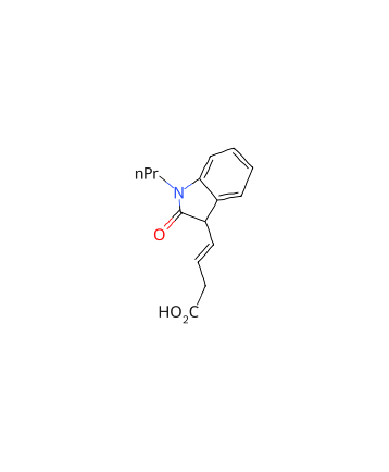 CCCN1C(=O)C(C=CCC(=O)O)c2ccccc21